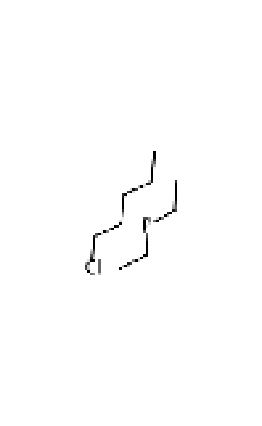 CCCCCCl.CC[P]CC